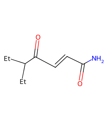 CCC(CC)C(=O)C=CC(N)=O